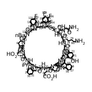 CCCC[C@H]1C(=O)N2CCC[C@@H]2C(=O)N[C@@H](CC(=O)O)C(=O)N[C@@H](C(C)C)C(=O)N(C)[C@@H](Cc2ccccc2)C(=O)N[C@@H](CCC(=O)O)C(=O)N2CCOC[C@@H]2C(=O)N[C@@H](Cc2c[nH]c3ccccc23)C(=O)N[C@@H](Cc2ccc(O)cc2)C(=O)N[C@@H](CCCCN)C(=O)N[C@H](C(=O)NCC(N)=O)CSCC(=O)N[C@@H](Cc2cc(F)c(F)c(F)c2)C(=O)N(C)[C@@H](Cc2ccc(F)cc2)C(=O)N1C